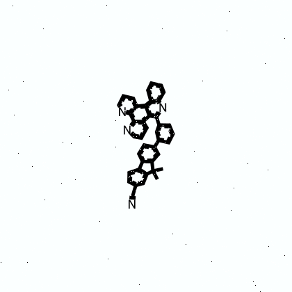 CC1(C)c2cc(C#N)ccc2-c2ccc(-c3cccc(-c4nc5ccccc5c5c6cccnc6c6ncccc6c45)c3)cc21